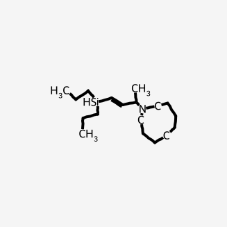 CCC[SiH](C=CC(C)N1CCCCCCCC1)CCC